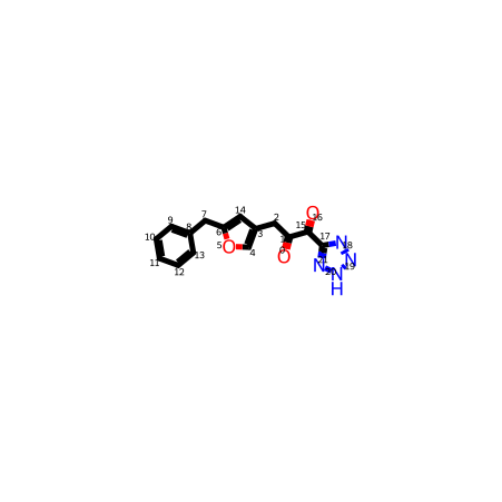 O=C(Cc1coc(Cc2ccccc2)c1)C(=O)c1nn[nH]n1